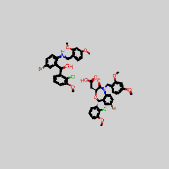 COc1ccc(CN2C(=O)[C@H](CC(=O)O)O[C@@H](c3cccc(OC)c3Cl)c3cc(Br)ccc32)c(OC)c1.COc1ccc(CNc2ccc(Br)cc2C(O)c2cccc(OC)c2Cl)c(OC)c1